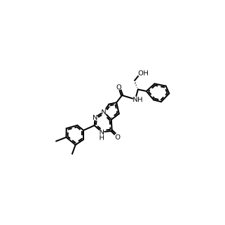 Cc1ccc(-c2nn3cc(C(=O)N[C@H](CO)c4ccccc4)cc3c(=O)[nH]2)cc1C